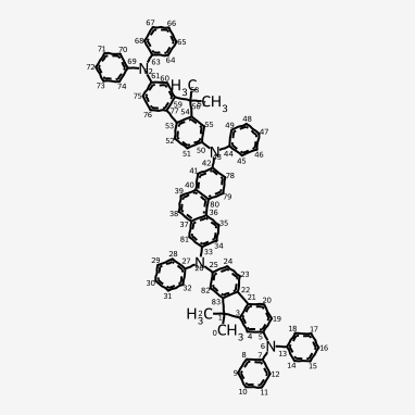 CC1(C)c2cc(N(c3ccccc3)c3ccccc3)ccc2-c2ccc(N(c3ccccc3)c3ccc4c(ccc5cc(N(c6ccccc6)c6ccc7c(c6)C(C)(C)c6cc(N(c8ccccc8)c8ccccc8)ccc6-7)ccc54)c3)cc21